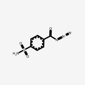 [N-]=[N+]=NC(=O)c1ccc(S(N)(=O)=O)cc1